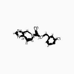 O=C(OCc1cccc(Cl)c1)N1C=Cc2ncsc2C1